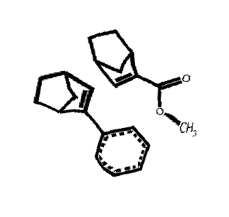 C1=C(c2ccccc2)C2CCC1C2.COC(=O)C1=CC2CCC1C2